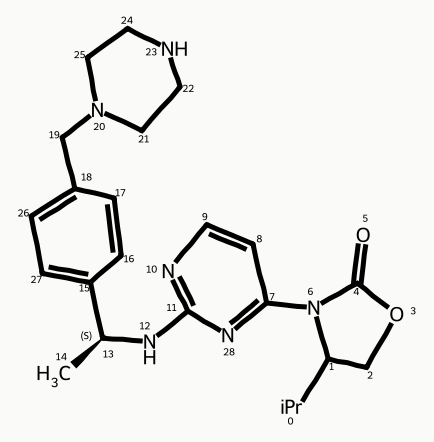 CC(C)C1COC(=O)N1c1ccnc(N[C@@H](C)c2ccc(CN3CCNCC3)cc2)n1